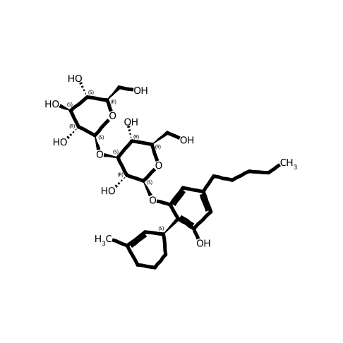 CCCCCc1cc(O)c([C@@H]2C=C(C)CCC2)c(O[C@@H]2O[C@H](CO)[C@@H](O)[C@H](O[C@@H]3O[C@H](CO)[C@@H](O)[C@H](O)[C@H]3O)[C@H]2O)c1